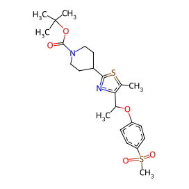 Cc1sc(C2CCN(C(=O)OC(C)(C)C)CC2)nc1C(C)Oc1ccc(S(C)(=O)=O)cc1